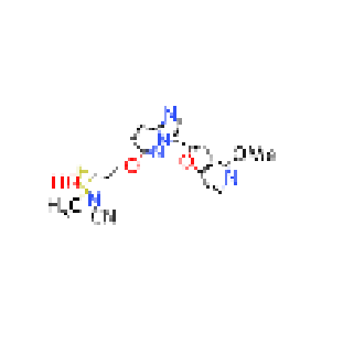 COc1nccc2oc(-c3cnc4ccc(OCCC[SH](C)(O)=NC#N)nn34)cc12